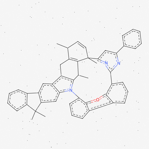 CC1C=CC2(C)C3=C1Cc1c(n(c4cc5c(cc14)-c1ccccc1C5(C)C)-c1cccc4c1oc1c(cccc14)-c1nc(-c4ccccc4)cc2n1)C3C